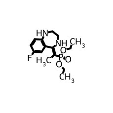 CCOP(=O)(OCC)C(C)=C1NCCNc2ccc(F)cc21